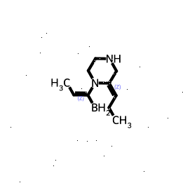 B/C(=C/C)N1CCNC/C1=C/CC